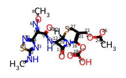 CNc1nc(/C(=N/OC)C(=O)N[C@@H]2C(=O)N3C(OC(=O)O)=C(COC(C)=O)CS[C@@H]23)ns1